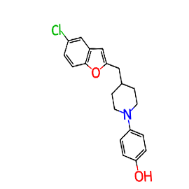 Oc1ccc(N2CCC(Cc3cc4cc(Cl)ccc4o3)CC2)cc1